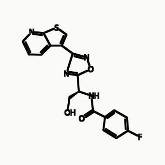 O=C(N[C@@H](CO)c1nc(-c2csc3ncccc23)no1)c1ccc(F)cc1